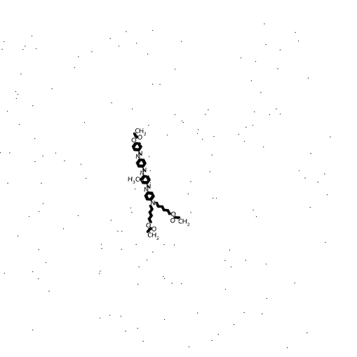 C=CC(=O)OCCCCCCN(CCCCCCOC(=O)C=C)c1ccc(N=Nc2ccc(N=Nc3ccc(N=Nc4ccc(OC(=O)C=C)cc4)cc3)c(C)c2)cc1